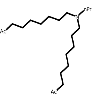 CCCN(CCCCCCCC(C)=O)CCCCCCCC(C)=O